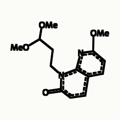 COc1ccc2ccc(=O)n(CCC(OC)OC)c2n1